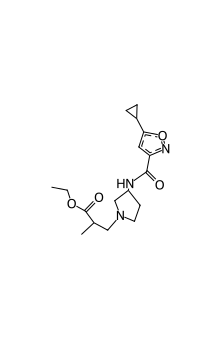 CCOC(=O)C(C)CN1CCC(NC(=O)c2cc(C3CC3)on2)C1